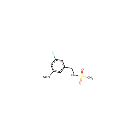 CNc1cc(F)cc(CNS(C)(=O)=O)c1